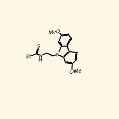 CCC(=S)NCCn1c2cc(OC)ccc2c2ccc(OC)cc21